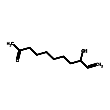 C=CC(O)CCCCCCC(C)=O